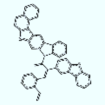 C=Cc1ccccc1/C=C(\C(=C)C1c2ccccc2-c2cc3c(cc21)sc1ccc2ccccc2c13)c1ccc2sc3ccccc3c2c1